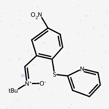 CC(C)(C)/[N+]([O-])=C/c1cc([N+](=O)[O-])ccc1Sc1ccccn1